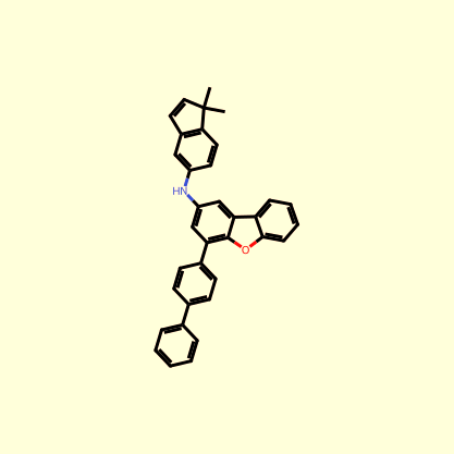 CC1(C)C=Cc2cc(Nc3cc(-c4ccc(-c5ccccc5)cc4)c4oc5ccccc5c4c3)ccc21